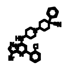 N#CC1(c2ccccc2)CCC(N2CCC(Nc3cc(-c4ccccc4Cl)nc4c(Br)cnn34)CC2)CC1